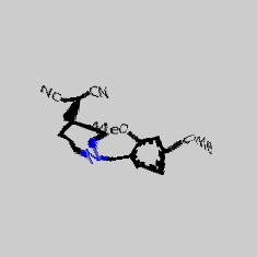 COc1ccc(CN2CCC(=C(C#N)C#N)C2)c(OC)c1